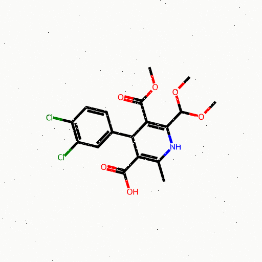 COC(=O)C1=C(C(OC)OC)NC(C)=C(C(=O)O)C1c1ccc(Cl)c(Cl)c1